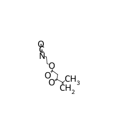 C=C(C)C(=O)CC(=O)OCCN=C=O